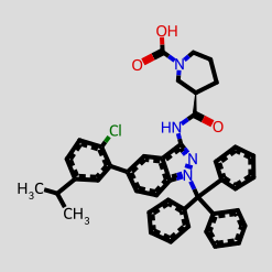 CC(C)c1ccc(Cl)c(-c2ccc3c(c2)c(NC(=O)[C@@H]2CCCN(C(=O)O)C2)nn3C(c2ccccc2)(c2ccccc2)c2ccccc2)c1